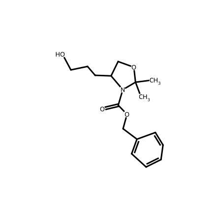 CC1(C)OCC(CCCO)N1C(=O)OCc1ccccc1